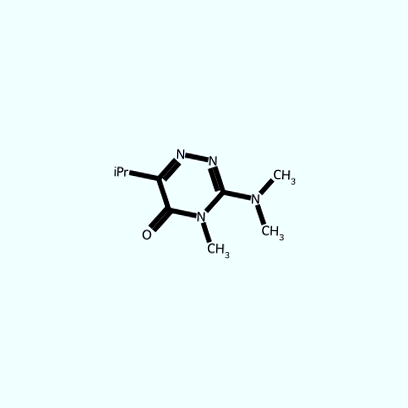 CC(C)c1nnc(N(C)C)n(C)c1=O